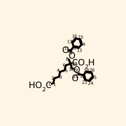 O=C(O)CCCCCCC(COC(=O)c1ccccc1)(COC(=O)c1ccccc1)C(=O)O